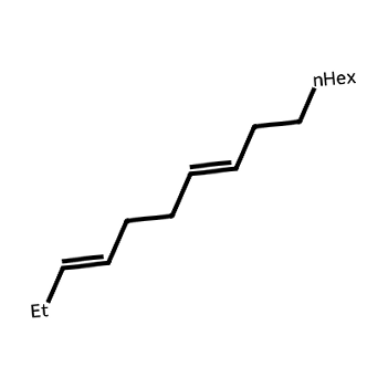 [CH2]CCCCCCCC=CCCC=CCC